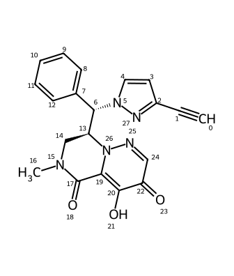 C#Cc1ccn([C@@H](c2ccccc2)[C@@H]2CN(C)C(=O)c3c(O)c(=O)cnn32)n1